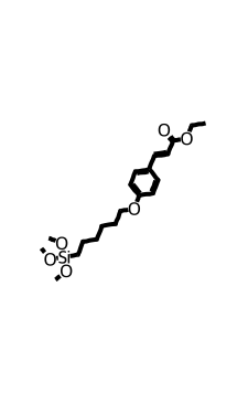 CCOC(=O)/C=C/c1ccc(OCCCCCC[Si](OC)(OC)OC)cc1